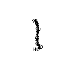 CC(C)(C)C(=O)c1ccc(OCCOC(=O)COCCCOCCOCC(=O)OCCOc2ccc(C(=O)C(C)(C)O)cc2)cc1